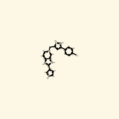 Fc1ccc(-c2cc(Cn3ccc4nc(-c5ccsc5)nc-4c3)on2)cc1